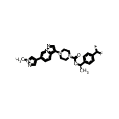 C[C@@H](OC(=O)N1CCN(c2cnn3cc(-c4cnn(C)c4)ccc23)CC1)c1ccc(C(F)F)cc1